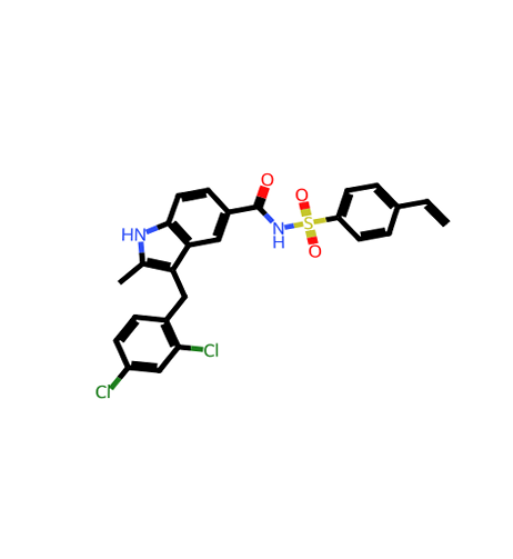 C=Cc1ccc(S(=O)(=O)NC(=O)c2ccc3[nH]c(C)c(Cc4ccc(Cl)cc4Cl)c3c2)cc1